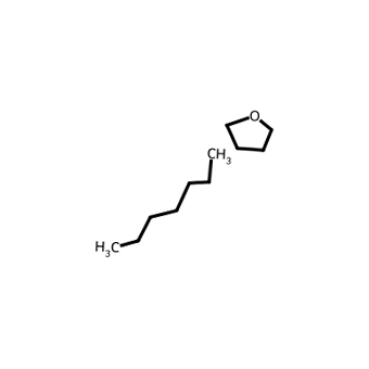 C1CCOC1.CCCCCCC